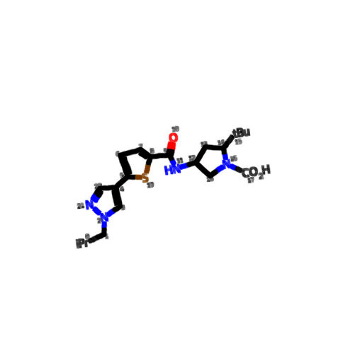 CC(C)Cn1cc(-c2ccc(C(=O)NC3CC(C(C)(C)C)N(C(=O)O)C3)s2)cn1